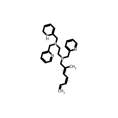 C=C/C=C\C=C(/C)CN(CCN(CC1=CC=CCP1)Cc1ccccn1)Cc1ccccn1